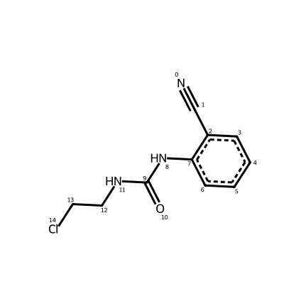 N#Cc1ccccc1NC(=O)NCCCl